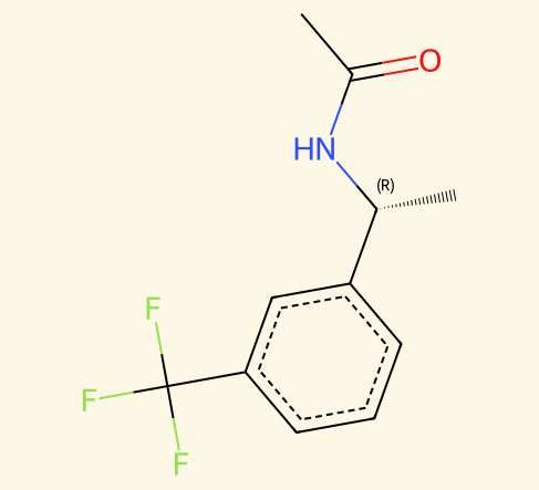 CC(=O)N[C@H](C)c1cccc(C(F)(F)F)c1